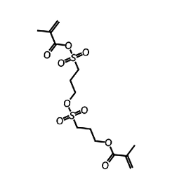 C=C(C)C(=O)OCCCS(=O)(=O)OCCCS(=O)(=O)OC(=O)C(=C)C